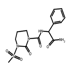 CS(=O)(=O)N1CCCN(C(=O)NC(C(N)=O)c2ccccc2)C1=O